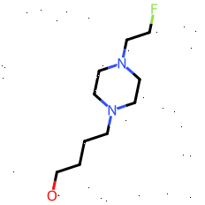 [O]CCCCN1CCN(CCF)CC1